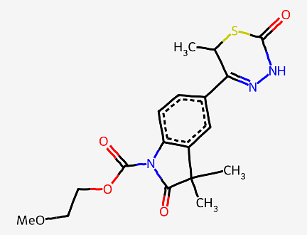 COCCOC(=O)N1C(=O)C(C)(C)c2cc(C3=NNC(=O)SC3C)ccc21